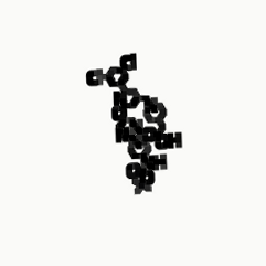 CC(C)(C)OC(=O)NC1CCN(c2ncc(Oc3cc(CN4CCC(CC(=O)O)CC4)cc(-c4cc(Cl)cc(Cl)c4)n3)cn2)CC1